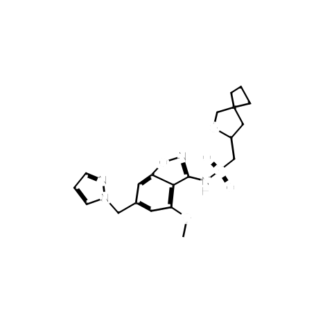 COc1cc(Cn2cccn2)cc2onc(NS(=O)(=O)CC3CC4(CCC4)CO3)c12